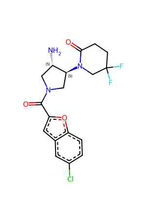 N[C@H]1CN(C(=O)c2cc3cc(Cl)ccc3o2)C[C@@H]1N1CC(F)(F)CCC1=O